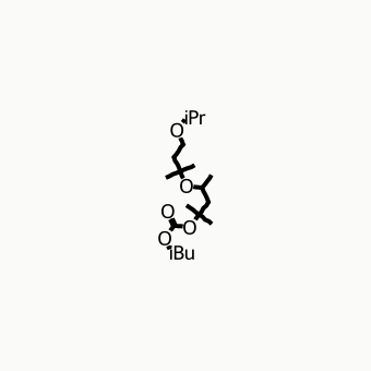 CCC(C)OC(=O)OC(C)(C)CC(C)OC(C)(C)CCOC(C)C